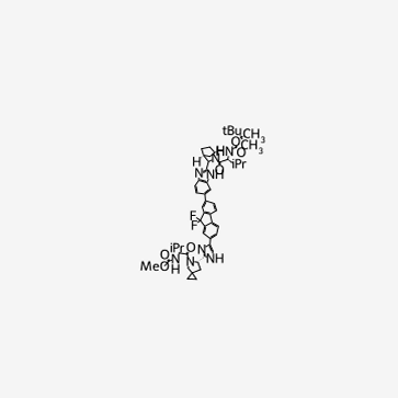 COC(=O)N[C@H](C(=O)N1CC2(CC2)C[C@H]1c1nc(-c2ccc3c(c2)C(F)(F)c2cc(-c4ccc5nc(C6[C@H]7CC[C@H](C7)N6C(=O)[C@@H](NC(=O)OC(C)(C)C(C)(C)C)C(C)C)[nH]c5c4)ccc2-3)c[nH]1)C(C)C